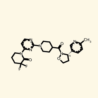 Cc1ccc([C@@H]2CCON2C(=O)C2CCN(c3nccc(N4CCCC(F)(F)C4=O)n3)CC2)cn1